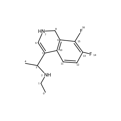 CCNC(C)C1=CNCc2c1ccc(F)c2F